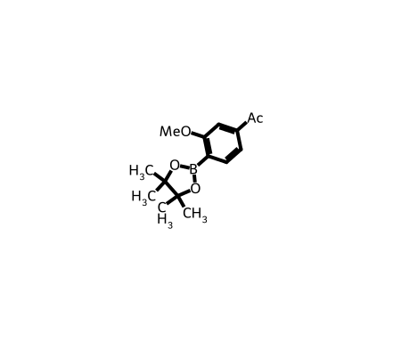 COc1cc(C(C)=O)ccc1B1OC(C)(C)C(C)(C)O1